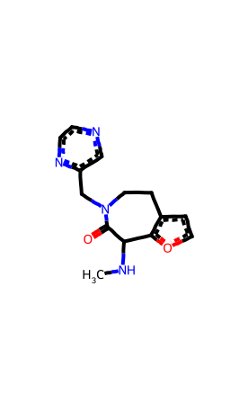 CNC1C(=O)N(Cc2cnccn2)CCc2ccoc21